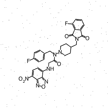 O=C1c2cccc(F)c2C(=O)N1CC1CCN(N(Cc2ccc(F)cc2)C(=O)CNc2ccc([N+](=O)[O-])c3nonc23)CC1